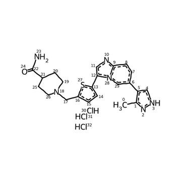 Cc1n[nH]cc1-c1ccc2ncc(-c3ccc(CN4CCC(C(N)=O)CC4)s3)n2c1.Cl.Cl.Cl